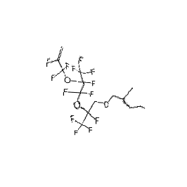 C=C(F)C(F)(F)OC(F)(C(F)(F)F)C(F)(F)OC(F)(COCC(C)CC)C(F)(F)F